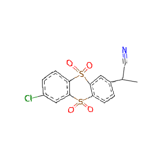 CC(C#N)c1ccc2c(c1)S(=O)(=O)c1ccc(Cl)cc1S2(=O)=O